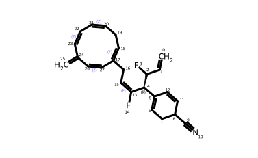 C=CC(F)[C@@H](C1=CCC(C#N)C=C1)/C(F)=C\CC1=C/C/C=C\C=C/C(=C)/C=C\1